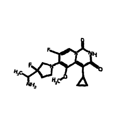 COc1c(N2CCC(F)(C(C)N)C2)c(F)cn2c(=O)[nH]c(=O)c(C3CC3)c12